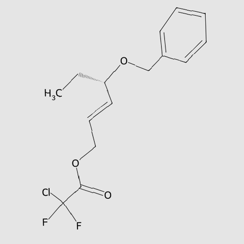 CC[C@@H](/C=C/COC(=O)C(F)(F)Cl)OCc1ccccc1